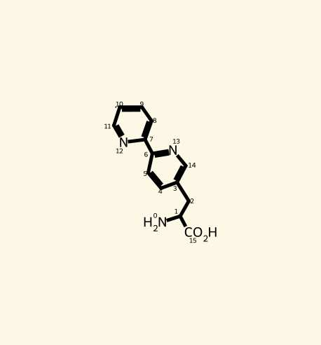 NC(Cc1ccc(-c2cc[c]cn2)nc1)C(=O)O